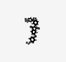 CCC(C)(CC)c1cccc(N2C(=O)c3ccc(Oc4ccc(C)cc4)cc3C2=O)c1